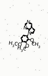 COc1ccc(-n2ccc3cncnc32)c(OC)c1OC